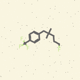 CC(C)(CCCF)Cc1ccc(C(F)(F)F)cc1